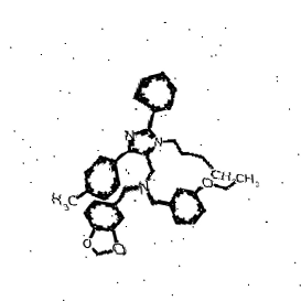 CCCCn1c(-c2ccccc2)nc(-c2ccc(C)cc2)c1CN(Cc1cccc(OCC)c1)Cc1ccc2c(c1)OCO2